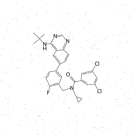 CC(C)(C)Nc1ncnc2ccc(-c3ccc(F)c(CN(C(=O)c4cc(Cl)cc(Cl)c4)C4CC4)c3)cc12